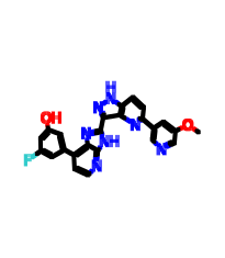 COc1cncc(-c2ccc3[nH]nc(-c4nc5c(-c6cc(O)cc(F)c6)ccnc5[nH]4)c3n2)c1